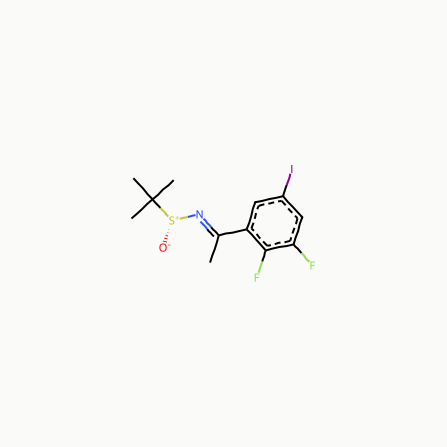 C/C(=N\[S@+]([O-])C(C)(C)C)c1cc(I)cc(F)c1F